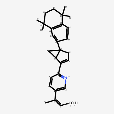 C/C(=C/C(=O)O)c1ccc(C2=CCC3(c4ccc5c(c4)C(C)(C)CCC5(C)C)CC23)nc1